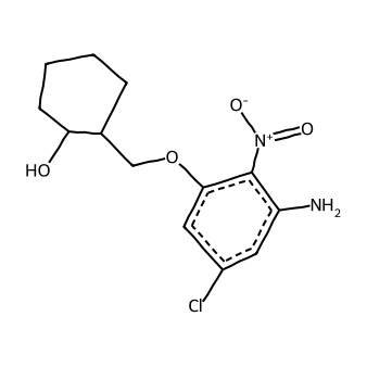 Nc1cc(Cl)cc(OCC2CCCCC2O)c1[N+](=O)[O-]